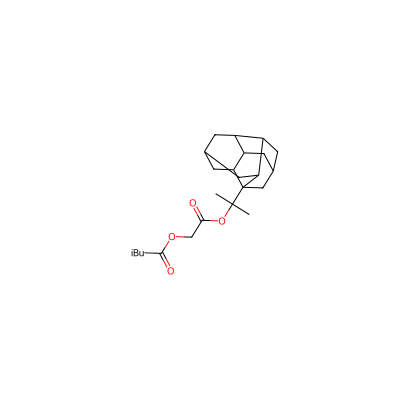 CCC(C)C(=O)OCC(=O)OC(C)(C)C12CC3CC4C5CC(CC41)CC2C5C3